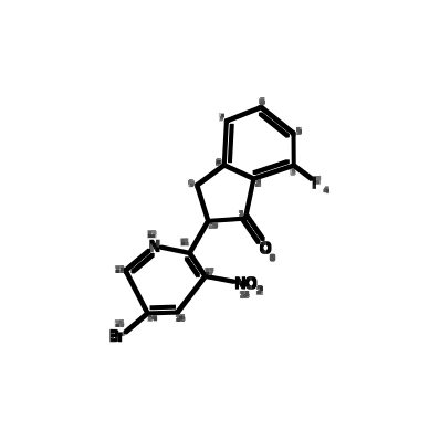 O=C1c2c(F)cccc2CC1c1ncc(Br)cc1[N+](=O)[O-]